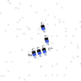 [C+4].[C-]#N.[C-]#N.[C-]#N.[C-]#N.[C-]#N.[Na+]